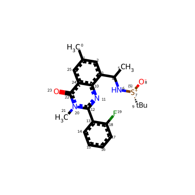 Cc1cc(C(C)N[S@+]([O-])C(C)(C)C)c2nc(-c3ccccc3F)n(C)c(=O)c2c1